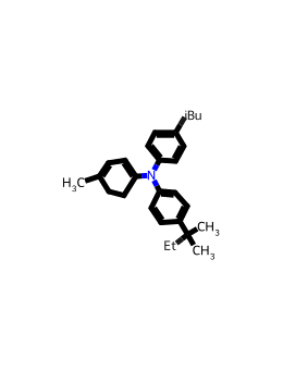 CCC(C)c1ccc(N(C2=CC=C(C)CC2)c2ccc(C(C)(C)CC)cc2)cc1